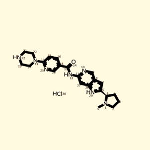 CN1CCC[C@@H]1c1cc2cnc(NC(=O)c3ccc(N4CCNCC4)nc3)cc2[nH]1.Cl